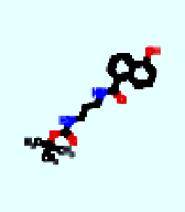 CC(C)(C)OC(=O)NCCCNC(=O)c1cccc2c(O)cccc12